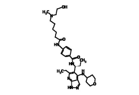 CCc1nc2[nH]ncc2c(NC2CCOCC2)c1[C@@H](CC)NC(=O)c1ccc(NC(=O)CCCCCN(C)CCO)cc1